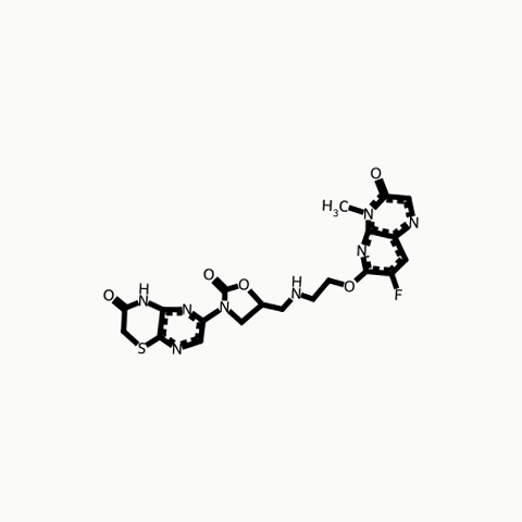 Cn1c(=O)cnc2cc(F)c(OCCNCC3CN(c4cnc5c(n4)NC(=O)CS5)C(=O)O3)nc21